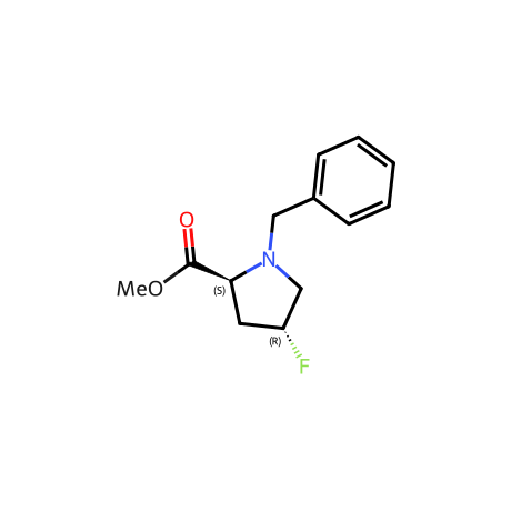 COC(=O)[C@@H]1C[C@@H](F)CN1Cc1ccccc1